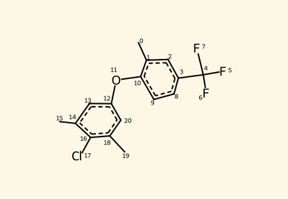 Cc1cc(C(F)(F)F)ccc1Oc1cc(C)c(Cl)c(C)c1